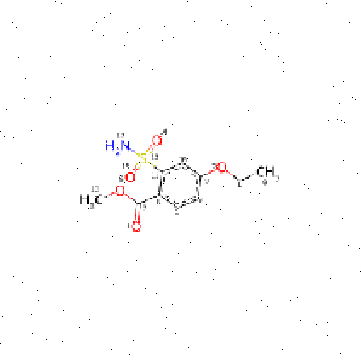 CCOc1ccc(C(=O)OC)c(S(N)(=O)=O)c1